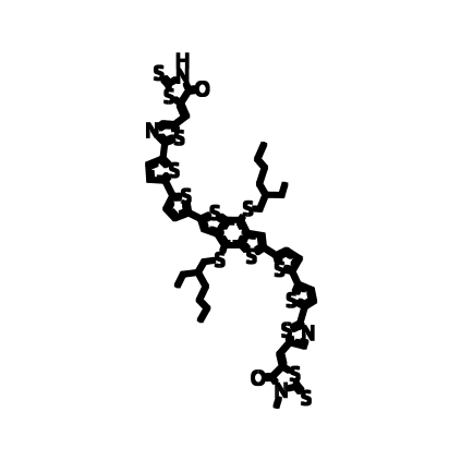 CCCCC(CC)CSc1c2cc(-c3ccc(-c4ccc(-c5ncc(/C=C6\SC(=S)N(C)C6=O)s5)s4)s3)sc2c(SCC(CC)CCCC)c2cc(-c3ccc(-c4ccc(-c5ncc(/C=C6\SC(=S)NC6=O)s5)s4)s3)sc12